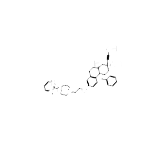 CC#C[C@@]1(O)CC[C@@]2(Cc3ccccc3)c3ccc(OCCN4CCN(c5ncccn5)CC4)cc3CC[C@@H]2C1